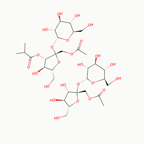 CC(=O)OC[C@@]1(O[C@H]2O[C@H](CO)[C@@H](O)[C@H](O)[C@H]2O)O[C@H](CO)[C@@H](O)[C@@H]1O.CC(=O)OC[C@@]1(O[C@H]2O[C@H](CO)[C@@H](O)[C@H](O)[C@H]2O)O[C@H](CO)[C@@H](O)[C@@H]1OC(=O)C(C)C